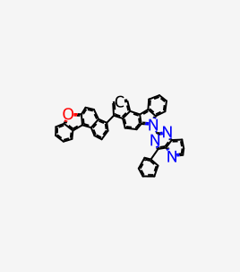 c1ccc(-c2nc(-n3c4ccccc4c4c5cccc(-c6cccc7c6ccc6oc8ccccc8c67)c5ccc43)nc3cccnc23)cc1